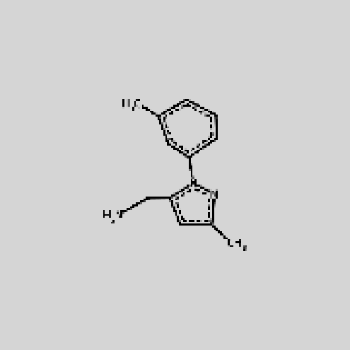 Cc1cccc(-n2nc(C)cc2CN)c1